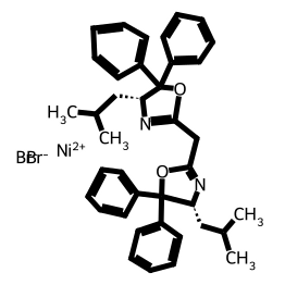 CC(C)C[C@H]1N=C(CC2=N[C@H](CC(C)C)C(c3ccccc3)(c3ccccc3)O2)OC1(c1ccccc1)c1ccccc1.[Br-].[Br-].[Ni+2]